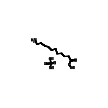 NCCCCCCCCCCC(=O)OO.O=S(=O)(O)O